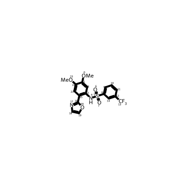 COc1cc(NS(=O)(=O)c2cccc(C(F)(F)F)c2)c(-c2ncco2)cc1OC